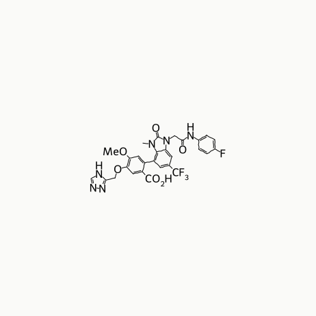 COc1cc(-c2cc(C(F)(F)F)cc3c2n(C)c(=O)n3CC(=O)Nc2ccc(F)cc2)c(C(=O)O)cc1OCc1nnc[nH]1